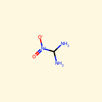 NC(N)[N+](=O)[O-]